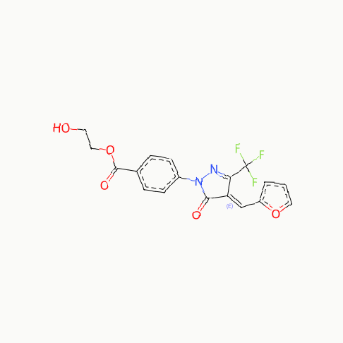 O=C(OCCO)c1ccc(N2N=C(C(F)(F)F)/C(=C\c3ccco3)C2=O)cc1